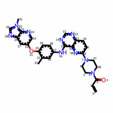 C=CC(=O)N1CCN(c2ccc3ncnc(Nc4ccc(Oc5cnc6c(c5)ncn6C)c(C)c4)c3n2)CC1